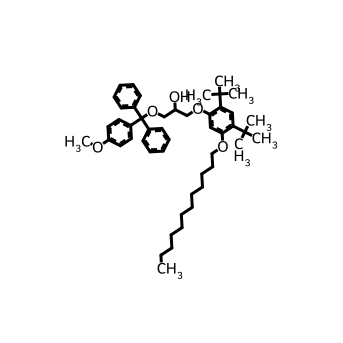 CCCCCCCCCCCCOc1cc(OCC(O)COC(c2ccccc2)(c2ccccc2)c2ccc(OC)cc2)c(C(C)(C)C)cc1C(C)(C)C